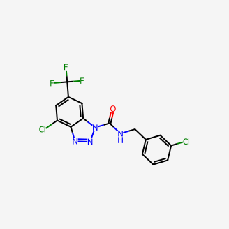 O=C(NCc1cccc(Cl)c1)n1nnc2c(Cl)cc(C(F)(F)F)cc21